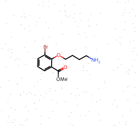 COC(=O)c1cccc(Br)c1OCCCCN